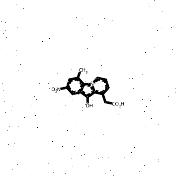 Cc1cc([N+](=O)[O-])cc2c(O)c3c(CC(=O)O)cccn3c12